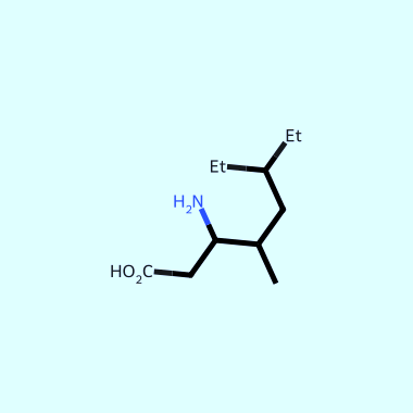 CCC(CC)CC(C)C(N)CC(=O)O